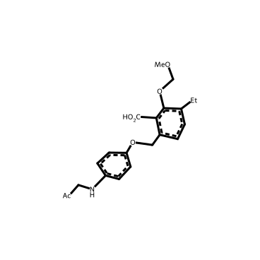 CCc1ccc(COc2ccc(NCC(C)=O)cc2)c(C(=O)O)c1OCOC